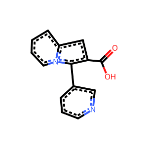 O=C(O)c1cc2ccccn2c1-c1cccnc1